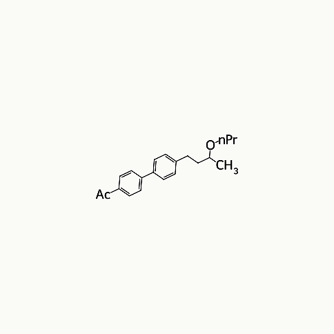 CCCOC(C)CCc1ccc(-c2ccc(C(C)=O)cc2)cc1